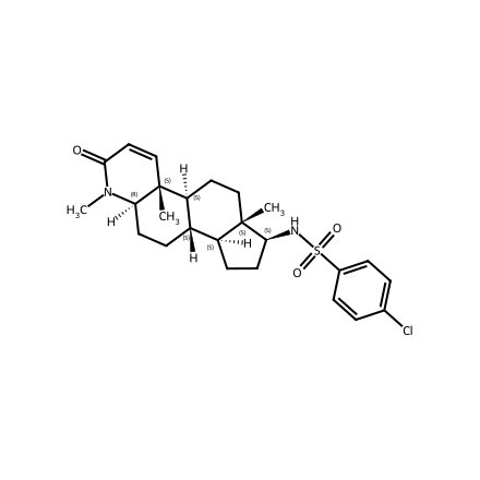 CN1C(=O)C=C[C@]2(C)[C@H]3CC[C@]4(C)[C@@H](NS(=O)(=O)c5ccc(Cl)cc5)CC[C@H]4[C@@H]3CC[C@@H]12